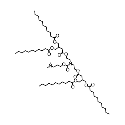 CCCCCCCCCCC(=O)OCC(COC(=O)CCCCCCCCCC)CC(=O)OCCN(CCOC(=O)CC(COC(=O)CCCCCCCCCC)COC(=O)CCCCCCCCCC)C(=O)OCCCN(C)C